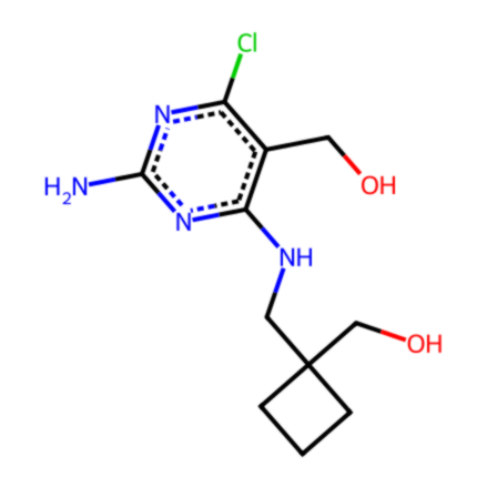 Nc1nc(Cl)c(CO)c(NCC2(CO)CCC2)n1